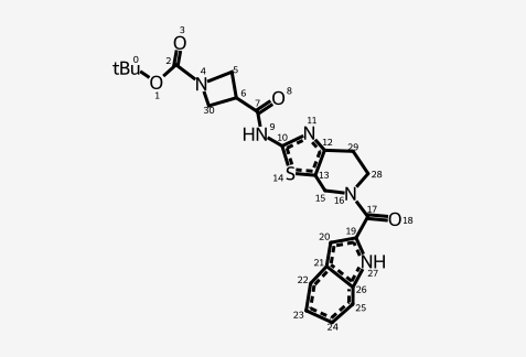 CC(C)(C)OC(=O)N1CC(C(=O)Nc2nc3c(s2)CN(C(=O)c2cc4ccccc4[nH]2)CC3)C1